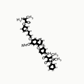 COc1cc2c(Oc3ccc(NC(=O)c4c(C)n(C)n(-c5ccccc5)c4=O)cc3F)ccnc2cc1OCCCN1CCC(OC(=O)C(C)N)C1